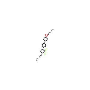 CCCCCOc1ccc(-c2ccc(-c3ccc(CCCCC)c(F)c3F)cc2)cc1